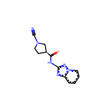 N#CN1CC[C@H](C(=O)Nc2nc3ccccn3n2)C1